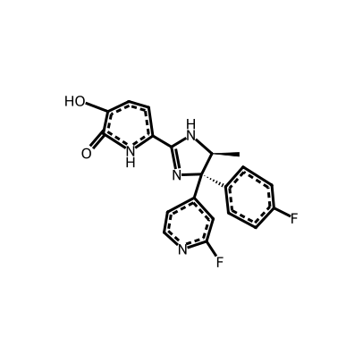 C[C@@H]1NC(c2ccc(O)c(=O)[nH]2)=N[C@]1(c1ccc(F)cc1)c1ccnc(F)c1